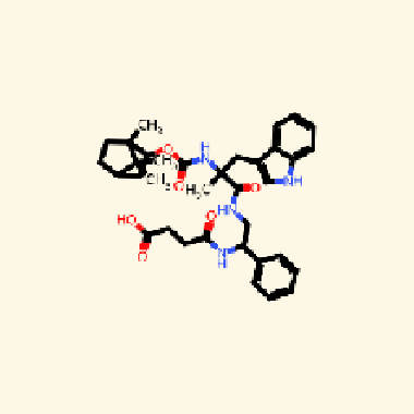 CC(Cc1c[nH]c2ccccc12)(NC(=O)OC1CC2CCC1(C)C2(C)C)C(=O)NCC(NC(=O)CCC(=O)O)c1ccccc1